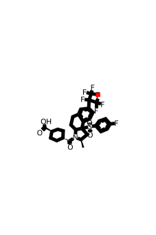 C[C@@H]1CC2(S(=O)(=O)c3ccc(F)cc3)c3ccc(C(F)(C(F)(F)F)C(F)(F)F)cc3CCC2N1C(=O)[C@H]1CC[C@H](C(=O)O)CC1